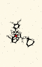 O=C(NOC1CCCCO1)[C@H]1C2CC[C@H](CN1S(=O)(=O)c1ccc(O)c(F)c1)N2C(=O)O